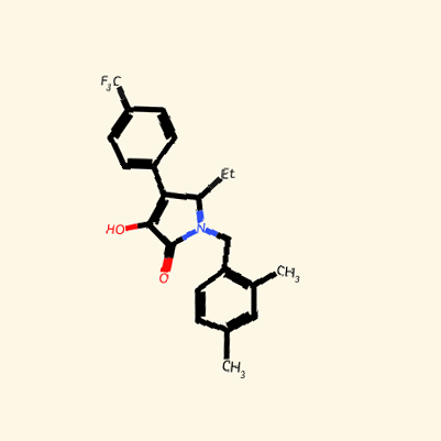 CCC1C(c2ccc(C(F)(F)F)cc2)=C(O)C(=O)N1Cc1ccc(C)cc1C